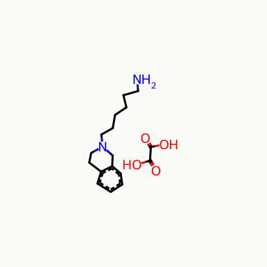 NCCCCCCN1CCc2ccccc2C1.O=C(O)C(=O)O